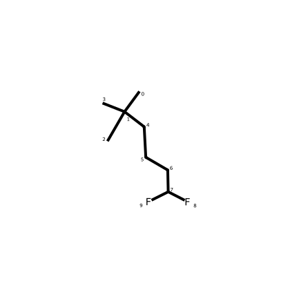 CC(C)(C)CCCC(F)F